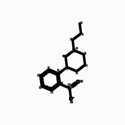 CCCN1CCC[C@@H](c2ccccc2[N+](=O)[O-])C1